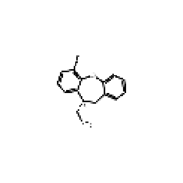 NC[C@H]1Cc2ccccc2Oc2c(F)cccc21